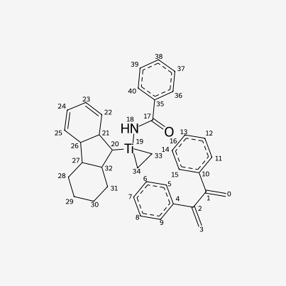 C=C(C(=C)c1ccccc1)c1ccccc1.O=C([NH][Ti]1([CH]2C3C=CC=CC3C3CCCCC32)[CH2][CH2]1)c1ccccc1